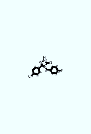 O=c1[nH]nc(-c2ccc(Cl)cc2)n1Cc1ccc(F)cc1